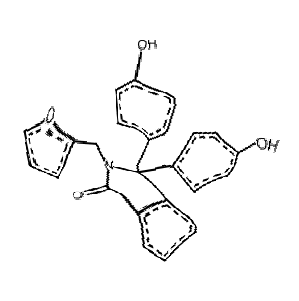 O=C1c2ccccc2C(c2ccc(O)cc2)(c2ccc(O)cc2)N1Cc1ccco1